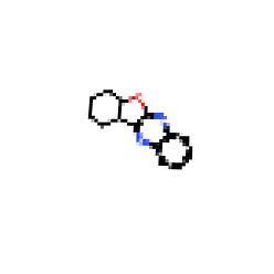 c1ccc2nc3c(nc2c1)OC1CCCCC31